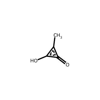 Cc1c(O)c1=O